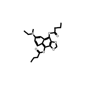 CCCC(=O)Oc1c2c(c(OC(=O)CCC)c3cc(N(C)CC)ccc13)OCO2